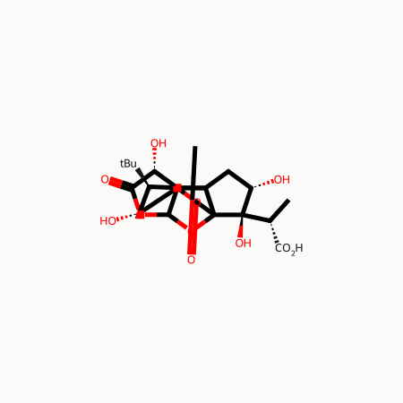 C[C@H](C(=O)O)[C@@]1(O)[C@@H](O)CC23C4OC(=O)C21OC1OC(=O)[C@H](O)C13[C@H](C(C)(C)C)[C@H]4O